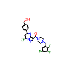 O=C(c1cnn2c(Cl)cc(-c3ccc(CO)cc3)nc12)N1CCN(Cc2cc(F)cc(F)c2F)CC1